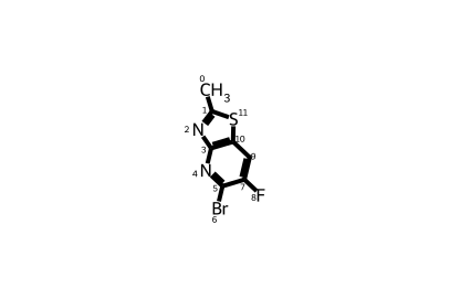 Cc1nc2nc(Br)c(F)cc2s1